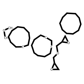 C(OCC1CO1)C1CO1.C1CCCCCCCCC1.C1CCCCCCCCC1.C1CCCCCCCCC1.COC